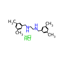 Cc1cc(C)cc(CNCCNCc2cc(C)cc(C)c2)c1.Cl.Cl